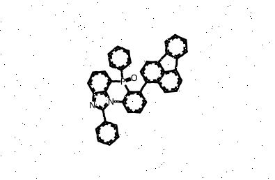 O=P1(c2ccccc2)c2c(-c3ccc4c5c(cccc35)-c3ccccc3-4)cccc2-n2c(-c3ccccc3)nc3cccc1c32